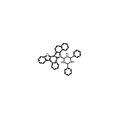 c1ccc(C2NC(c3ccccc3)NC(n3c4c5ccccc5ccc4c4c5oc6ccccc6c5c5ccccc5c43)N2)cc1